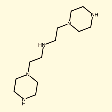 C1CN(CCNCCN2CCNCC2)CCN1